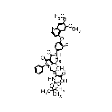 COc1cc2nccc(Oc3ccc(NC(=O)c4c(C)n(C[C@@H](C)C(NC(=O)OC(C)(C)C)C(=O)O)n(-c5ccccc5)c4=O)cc3F)c2cc1OC